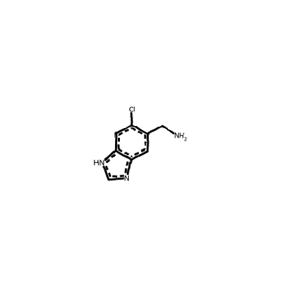 NCc1cc2nc[nH]c2cc1Cl